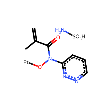 C=C(C)C(=O)N(OCC)c1cccnn1.NS(=O)(=O)O